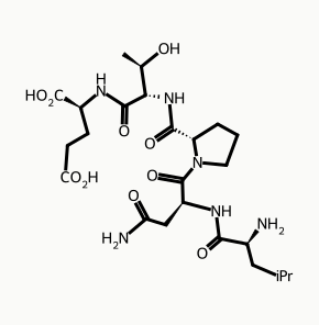 CC(C)C[C@H](N)C(=O)N[C@@H](CC(N)=O)C(=O)N1CCC[C@H]1C(=O)N[C@H](C(=O)N[C@@H](CCC(=O)O)C(=O)O)[C@@H](C)O